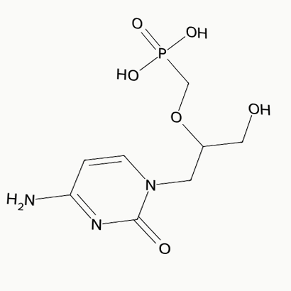 Nc1ccn(CC(CO)OCP(=O)(O)O)c(=O)n1